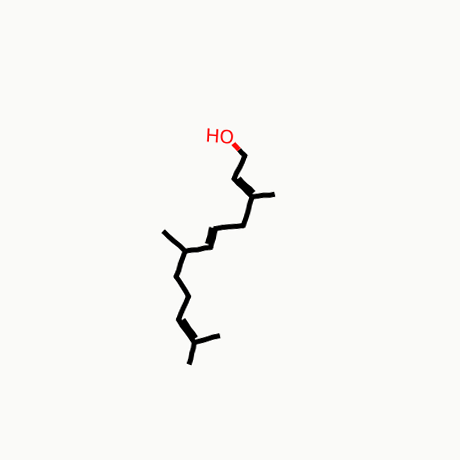 CC(C)=CCCC(C)C=CCC(C)=CCO